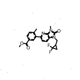 COC(=O)c1ccc(C)c(-c2ccc3c(n2)n(C)c(=O)n3CC2CC2(F)F)c1